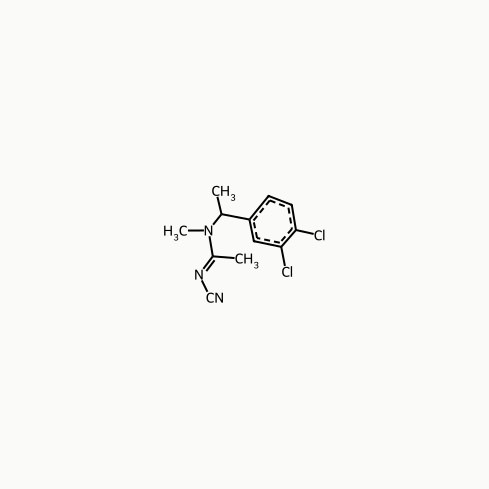 C/C(=N\C#N)N(C)C(C)c1ccc(Cl)c(Cl)c1